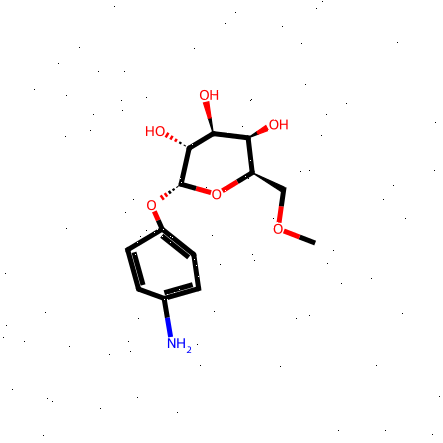 COC[C@H]1O[C@H](Oc2ccc(N)cc2)[C@H](O)[C@@H](O)[C@H]1O